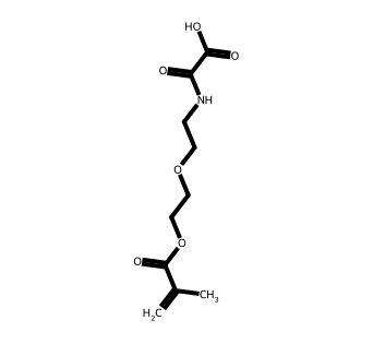 C=C(C)C(=O)OCCOCCNC(=O)C(=O)O